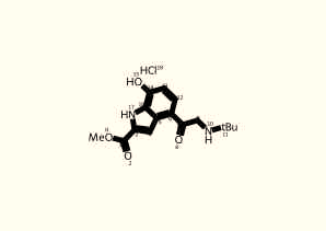 COC(=O)c1cc2c(C(=O)CNC(C)(C)C)ccc(O)c2[nH]1.Cl